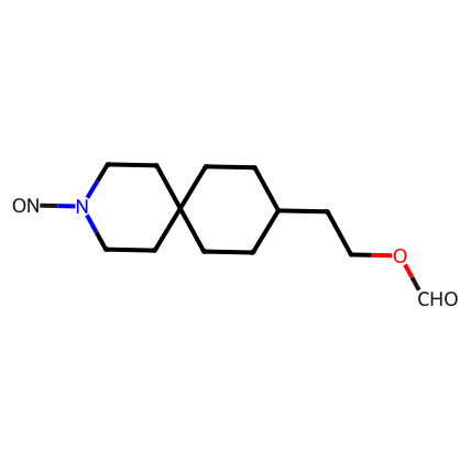 O=COCCC1CCC2(CC1)CCN(N=O)CC2